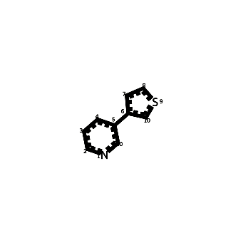 [c]1ncccc1-c1ccsc1